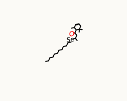 CCCCCCCCCCCC[Se]C(C)CC(=O)C1C(C)C=CCC1(C)C